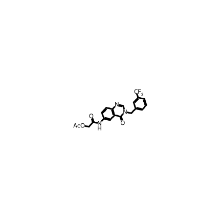 CC(=O)OCC(=O)Nc1ccc2ncn(Cc3cccc(C(F)(F)F)c3)c(=O)c2c1